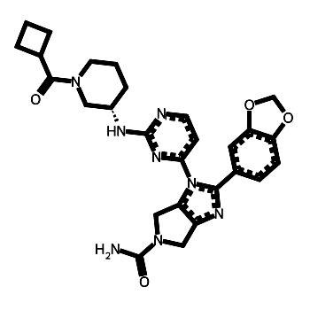 NC(=O)N1Cc2nc(-c3ccc4c(c3)OCO4)n(-c3ccnc(N[C@H]4CCCN(C(=O)C5CCC5)C4)n3)c2C1